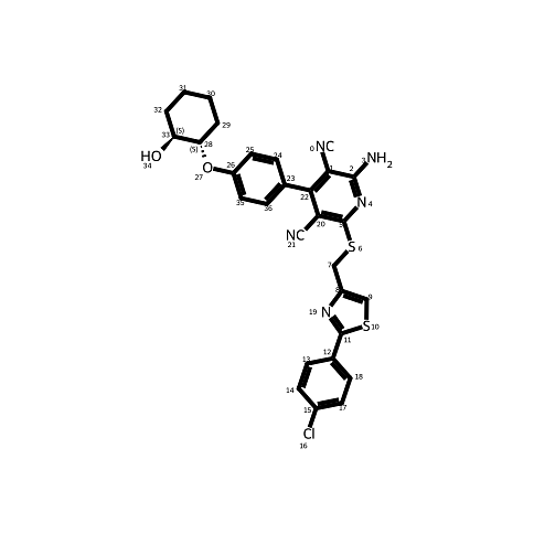 [C-]#[N+]c1c(N)nc(SCc2csc(-c3ccc(Cl)cc3)n2)c(C#N)c1-c1ccc(O[C@H]2CCCC[C@@H]2O)cc1